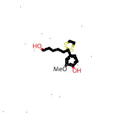 COc1cc(C2(CCCCCO)SCCS2)ccc1O